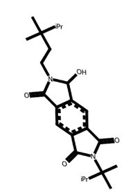 CC(C)C(C)(C)CCN1C(=O)c2cc3c(cc2C1O)C(=O)N(C(C)(C)C(C)C)C3=O